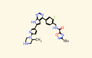 CC1CNCCN1c1ccc(-c2cc3c(-c4ccc(CNC(=O)c5nc(C(C)(C)C)no5)c(F)c4)ncnc3[nH]2)cn1